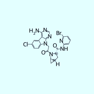 Nc1ncnc2c1c1cc(Cl)ccc1n2CC(=O)N1C2C[C@@H]2C[C@H]1C(=O)Nc1cccc(Br)n1